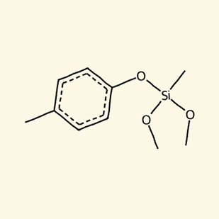 CO[Si](C)(OC)Oc1ccc(C)cc1